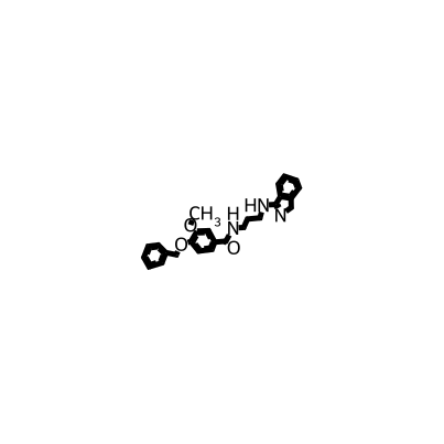 COc1cc(C(=O)NCCCNC2=NCc3ccccc32)ccc1OCc1ccccc1